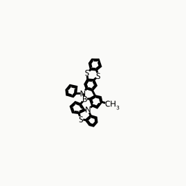 Cc1cc2c3c(c1)N1c4ccccc4Sc4cccc(c41)B3N(c1ccccc1)c1cc3c(cc1-2)Sc1ccccc1S3